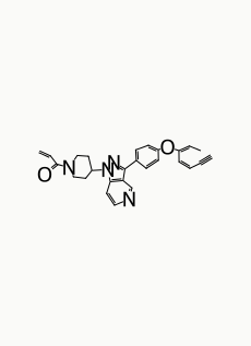 C#C/C=C\C(=C/C)Oc1ccc(-c2nn(C3CCN(C(=O)C=C)CC3)c3ccncc23)cc1